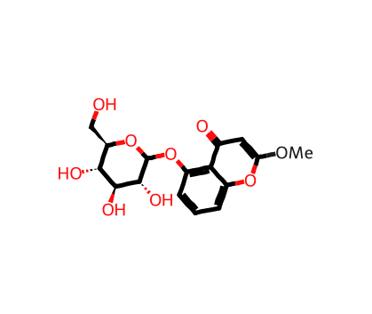 COc1cc(=O)c2c(OC3O[C@H](CO)[C@@H](O)[C@H](O)[C@H]3O)cccc2o1